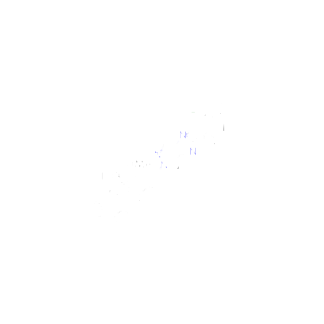 COC1(Cn2cc3nc(-c4cccc(F)c4F)nc-3cn2)C=CC(c2ccccc2)=C(C(F)(F)F)C1